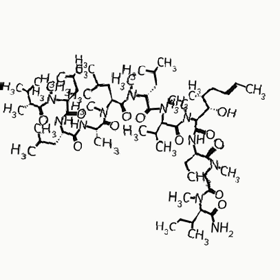 C/C=C/C[C@@H](C)[C@H](O)C(C(=O)N[C@H](CC)C(=O)N(C)CC(=O)N(C)[C@@H](C(N)=O)C(C)CC)N(C)C(=O)[C@@H](C(C)C)N(C)C(=O)[C@@H](CC(C)C)N(C)C(=O)[C@H](CC(C)C)N(C)C(=O)[C@H](C)NC(=O)[C@H](CC(C)C)NC(=O)[C@H](CC(C)C)N(C)C(=O)[C@H](C)C(C)C